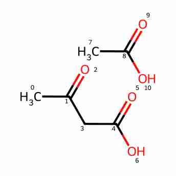 CC(=O)CC(=O)O.CC(=O)O